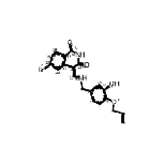 C=CCOc1ccc(CNC=C2C(=O)NC(=O)c3ccc(Br)cc32)cc1O